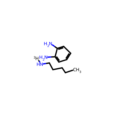 Nc1ccccc1N.[2H]NCCCCC